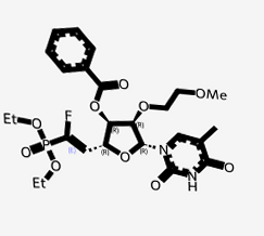 CCOP(=O)(OCC)/C(F)=C/[C@H]1O[C@@H](n2cc(C)c(=O)[nH]c2=O)[C@H](OCCOC)[C@@H]1OC(=O)c1ccccc1